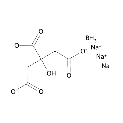 B.O=C([O-])CC(O)(CC(=O)[O-])C(=O)[O-].[Na+].[Na+].[Na+]